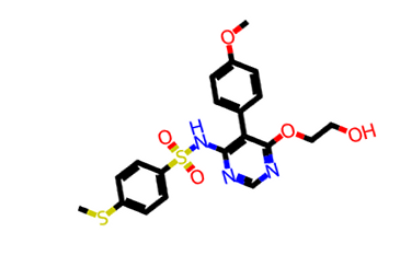 COc1ccc(-c2c(NS(=O)(=O)c3ccc(SC)cc3)ncnc2OCCO)cc1